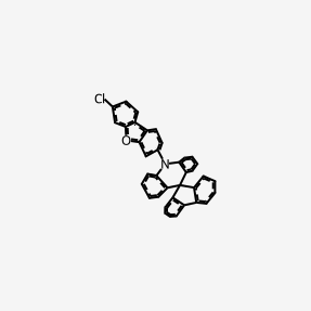 Clc1ccc2c(c1)oc1cc(N3c4ccccc4C4(c5ccccc5-c5ccccc54)c4ccccc43)ccc12